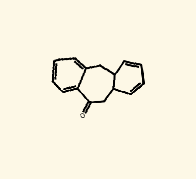 O=C1CC2C=CC=CC2Cc2ccccc21